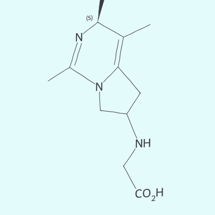 CC1=N[C@@H](C)C(C)=C2CC(NCC(=O)O)CN12